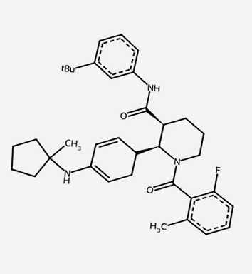 Cc1cccc(F)c1C(=O)N1CCC[C@H](C(=O)Nc2cccc(C(C)(C)C)c2)[C@@H]1C1C=CC(NC2(C)CCCC2)=CC1